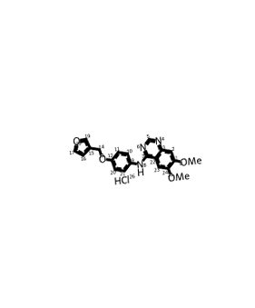 COc1cc2ncnc(Nc3ccc(OCc4ccoc4)cc3)c2cc1OC.Cl